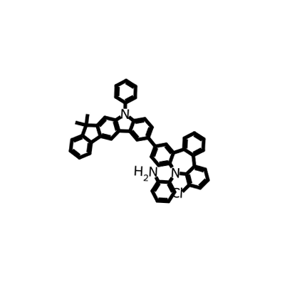 CC1(C)c2ccccc2-c2cc3c4cc(-c5ccc6c(c5)-c5ccccc5-c5cccc(Cl)c5N6c5ccccc5N)ccc4n(-c4ccccc4)c3cc21